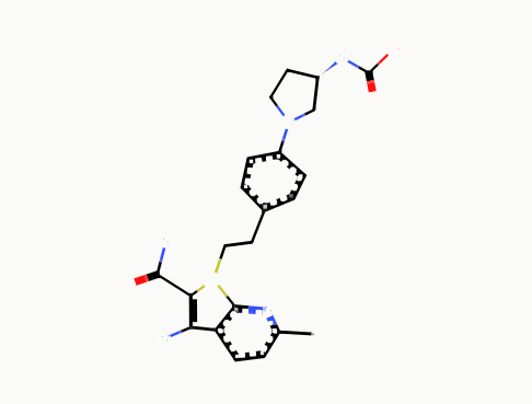 Cc1ccc2c(n1)[SH](CCc1ccc(N3CC[C@@H](NC(=O)O)C3)cc1)C(C(N)=O)=C2N